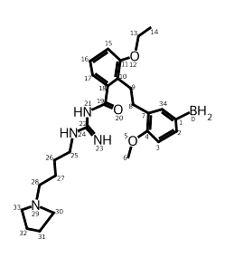 Bc1ccc(OC)c(CCc2c(OCC)cccc2C(=O)NC(=N)NCCCCN2CCCC2)c1